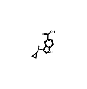 O=C(O)c1ccc2[nH]cc(NC3CC3)c2c1